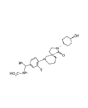 CC(C)C(NC(=O)O)c1ccc(N2CCC[C@]3(CCN([C@H]4CC[C@H](O)CC4)C3=O)C2)c(F)c1